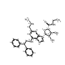 CCNC(=O)[C@H]1O[C@@H](n2cnc3c(NCC(c4ccccc4)c4ccccc4)nc(CNC)nc32)[C@H](O)[C@@H]1O